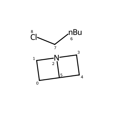 C1CN2CCC12.CCCCCCl